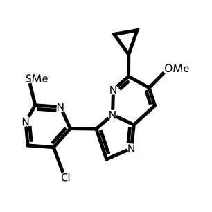 COc1cc2ncc(-c3nc(SC)ncc3Cl)n2nc1C1CC1